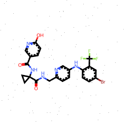 O=C(NC1(C(=O)NCc2ccc(Nc3ccc(Br)cc3C(F)(F)F)cn2)CC1)c1ccc(O)nc1